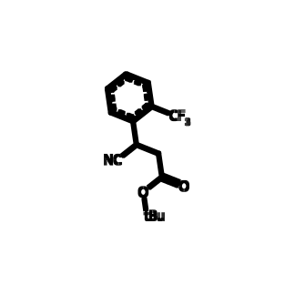 CC(C)(C)OC(=O)CC(C#N)c1ccccc1C(F)(F)F